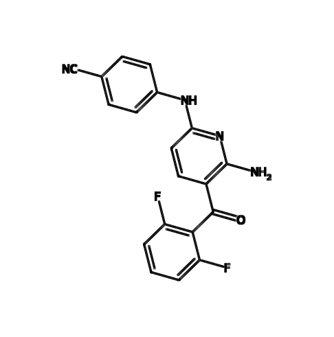 N#Cc1ccc(Nc2ccc(C(=O)c3c(F)cccc3F)c(N)n2)cc1